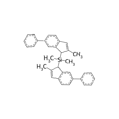 CC1=Cc2ccc(-c3ccccc3)cc2C1[Si](C)(C)C1C(C)=Cc2ccc(-c3ccccc3)cc21